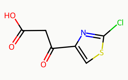 O=C(O)CC(=O)c1csc(Cl)n1